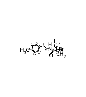 Cc1ccc(CCNC(=O)C(C)(C)Br)cc1